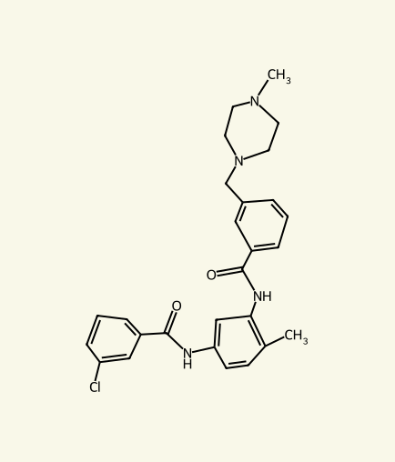 Cc1ccc(NC(=O)c2cccc(Cl)c2)cc1NC(=O)c1cccc(CN2CCN(C)CC2)c1